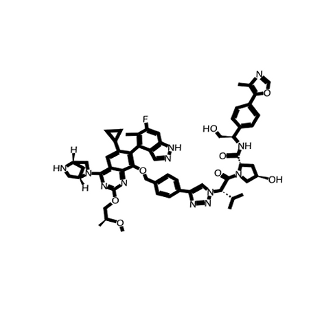 CO[C@@H](C)COc1nc(N2C[C@@H]3C[C@H]2CN3)c2cc(C3CC3)c(-c3c(C)c(F)cc4[nH]ncc34)c(OCc3ccc(-c4cn([C@H](C(=O)N5C[C@H](O)C[C@H]5C(=O)N[C@@H](CO)c5ccc(-c6ocnc6C)cc5)C(C)C)nn4)cc3)c2n1